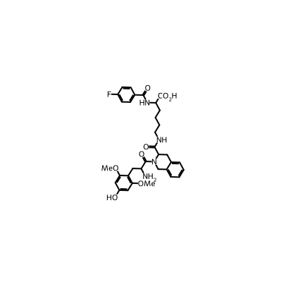 COc1cc(O)cc(OC)c1CC(N)C(=O)N1Cc2ccccc2CC1C(=O)NCCCCC(NC(=O)c1ccc(F)cc1)C(=O)O